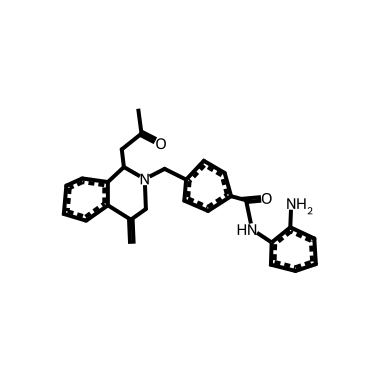 C=C1CN(Cc2ccc(C(=O)Nc3ccccc3N)cc2)C(CC(C)=O)c2ccccc21